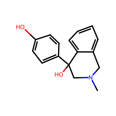 CN1Cc2ccccc2C(O)(c2ccc(O)cc2)C1